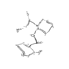 O=C(Oc1ccccc1C(=O)[O-])c1ccccc1O.[Na+]